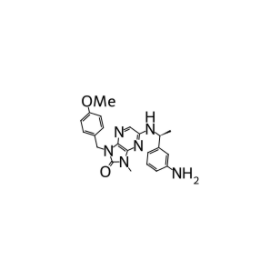 COc1ccc(Cn2c(=O)n(C)c3nc(N[C@@H](C)c4cccc(N)c4)cnc32)cc1